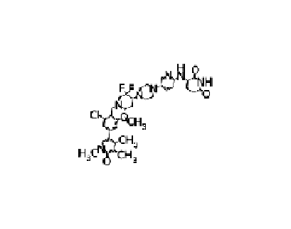 COc1cc(-c2cn(C)c(=O)c(C)c2C)cc(Cl)c1CN1CCC(N2CCN(c3ccc(NC4CCC(=O)NC4=O)nc3)CC2)C(F)(F)C1